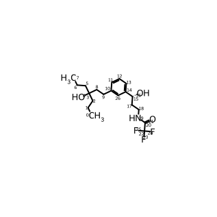 CCCC(O)(CCC)CCc1cccc([C@H](O)CCNC(=O)C(F)(F)F)c1